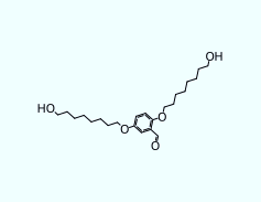 O=Cc1cc(OCCCCCCCCO)ccc1OCCCCCCCCO